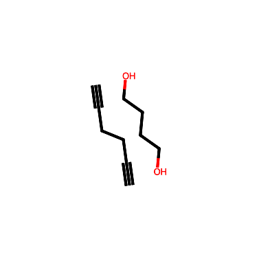 C#CCCC#C.OCCCCO